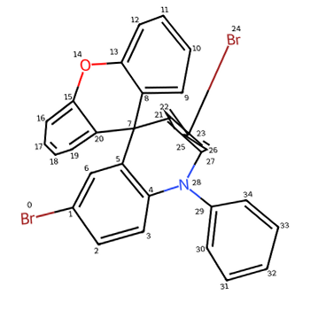 Brc1ccc2c(c1)C1(c3ccccc3Oc3ccccc31)c1cc(Br)ccc1N2c1ccccc1